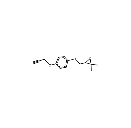 C#CCOc1ccc(OCC2OC2(C)C)cc1